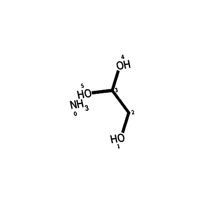 N.OCC(O)O